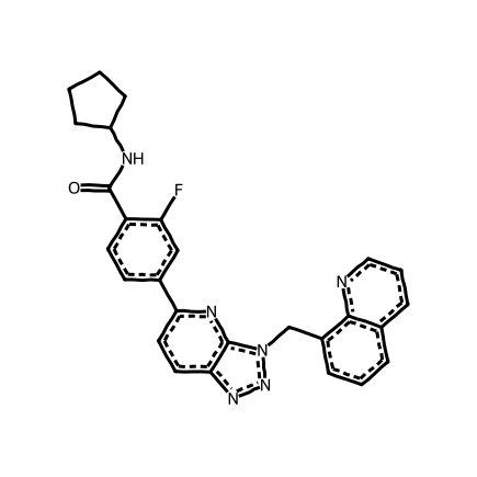 O=C(NC1CCCC1)c1ccc(-c2ccc3nnn(Cc4cccc5cccnc45)c3n2)cc1F